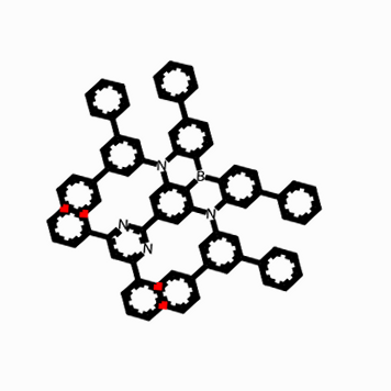 c1ccc(-c2cc(-c3ccccc3)cc(N3c4cc(-c5ccccc5)ccc4B4c5ccc(-c6ccccc6)cc5N(c5cc(-c6ccccc6)cc(-c6ccccc6)c5)c5cc(-c6nc(-c7ccccc7)cc(-c7ccccc7)n6)cc3c54)c2)cc1